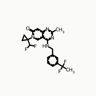 Cc1nc(NCc2cccc(C(C)(F)F)c2)c2cn(C3(C(F)F)CC3)c(=O)cc2n1